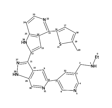 CCNCc1cncc(-c2cc3c(-c4cc5c(-c6ccc(C)s6)nccc5[nH]4)n[nH]c3cn2)c1